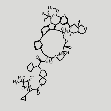 CO[C@@H](C)c1ncc(N2CCN3CCOC[C@@H]3C2)cc1-c1c2c3cc(ccc3n1CC(F)(F)F)-c1cccc(c1)C[C@H](NC(=O)[C@H](C1CCCC1)N1CC[C@]3(CCN(C(=O)[C@H]4[C@@H](C5CC5)N4[S@+]([O-])C(C)(C)C)C3)C1)C(=O)N1CCC[C@H](N1)C(=O)OCC(C)(C)C2